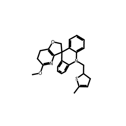 COC1=NC2=C(CC1)OCC21c2ccccc2N(CC2CC=C(C)S2)c2ccccc21